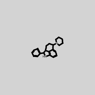 c1ccc(C2Nc3cccc4c3C2CCC4N2CCCCC2)cc1